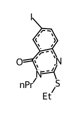 CCCn1c(SCC)nc2ccc(I)cc2c1=O